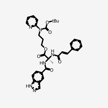 CC(C)(C)OC(=O)N(CCCOC(=O)[C@@](C)(NC(=O)C=Cc1ccccc1)NC(=O)c1ccc2[nH]ncc2c1)c1ccccn1